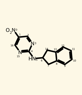 O=[N+]([O-])c1cnc(NC2Cc3ccccc3C2)nc1